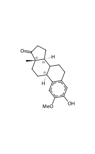 COc1cc2c(cc1O)CCC1[C@@H]2CC[C@]2(C)C(=O)CC[C@@H]12